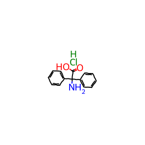 Cl.NC(C(=O)O)(c1ccccc1)c1ccccc1